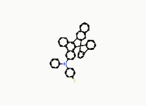 Fc1ccc(N(c2ccccc2)c2ccc3c4c(c5ccccc5c3c2)-c2cc3ccccc3cc2C42c3ccccc3-c3ccccc32)cc1